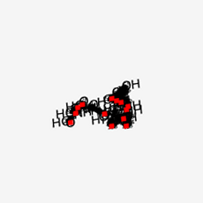 O=C(O)CC[C@H](NC(=O)N[C@@H](CCC(=O)NCCNC(=O)CC[C@@H](NCC(Cc1ccccc1)NC(=O)C(Cc1ccccc1)NC(=S)Nc1ccc(-c2c3ccc(=O)cc-3oc3cc(O)ccc23)c(C(=O)O)c1)C(=O)O)C(=O)O)C(=O)O